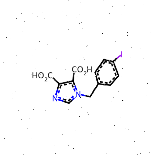 O=C(O)c1ncn(Cc2ccc(I)cc2)c1C(=O)O